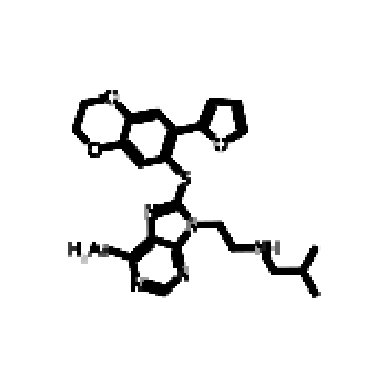 CC(C)CNCCn1c(Sc2cc3c(cc2-c2ccco2)OCCO3)nc2c([AsH2])ncnc21